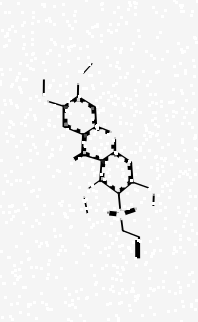 C=CCS(=O)(=O)c1c(OC)cc2oc3cc(OC)c(OC)cc3c(=O)c2c1OC